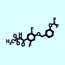 CS(=O)(=O)NC(=O)c1cc(F)c(OCc2cccc(OC(F)F)c2)cc1F